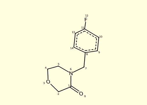 O=C1COCCN1Cc1ccc(F)cc1